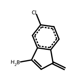 BC1=CC(=C)c2ccc(Cl)cc21